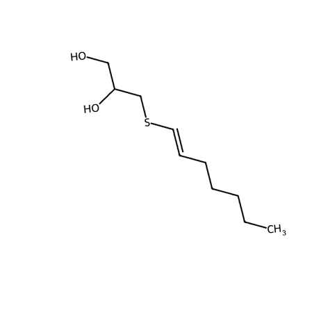 CCCCCC=CSCC(O)CO